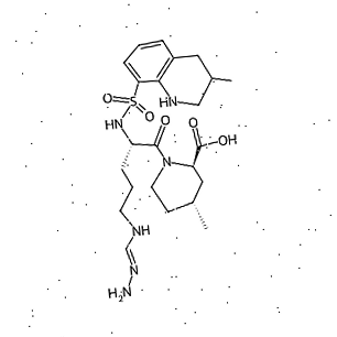 CC1CNc2c(cccc2S(=O)(=O)N[C@@H](CCCNC=NN)C(=O)N2CC[C@@H](C)C[C@@H]2C(=O)O)C1